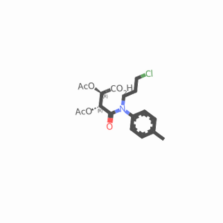 CC(=O)O[C@@H](C(=O)O)[C@@H](OC(C)=O)C(=O)N(CCCCl)c1ccc(C)cc1